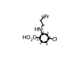 CC(C)CCNc1cc(Cl)ccc1C(=O)O